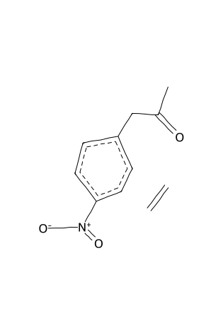 C=C.CC(=O)Cc1ccc([N+](=O)[O-])cc1